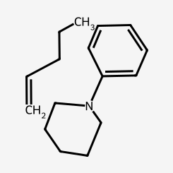 C=CCCC.c1ccc(N2CCCCC2)cc1